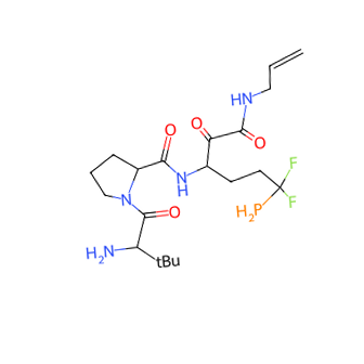 C=CCNC(=O)C(=O)C(CCC(F)(F)P)NC(=O)C1CCCN1C(=O)C(N)C(C)(C)C